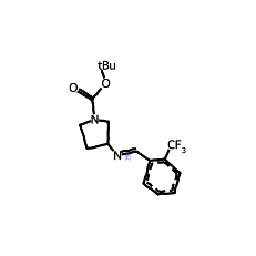 CC(C)(C)OC(=O)N1CCC(/N=C/c2ccccc2C(F)(F)F)C1